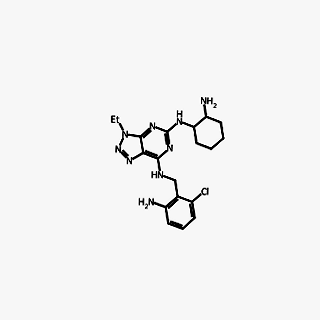 CCn1nnc2c(NCc3c(N)cccc3Cl)nc(NC3CCCCC3N)nc21